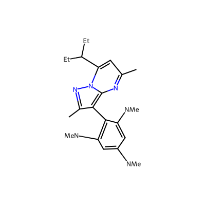 [CH2]CC(CC)c1cc(C)nc2c(-c3c(NC)cc(NC)cc3NC)c(C)nn12